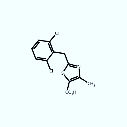 Cc1nc(Cc2c(Cl)cccc2Cl)sc1C(=O)O